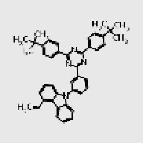 C=Cc1cccc2c1c1ccccc1n2-c1cccc(-c2nc(-c3ccc(C(C)(C)C)cc3)nc(-c3ccc(C(C)(C)C)cc3)n2)c1